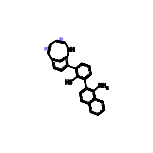 Nc1c(-c2cccc(-c3ccc4cc3N/C=C\C=C/4)c2S)ccc2ccccc12